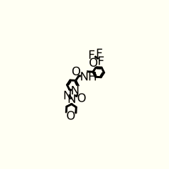 O=C(NCc1ccccc1OC(F)(F)F)c1ccc2nn(C3CCOCC3)c(=O)n2c1